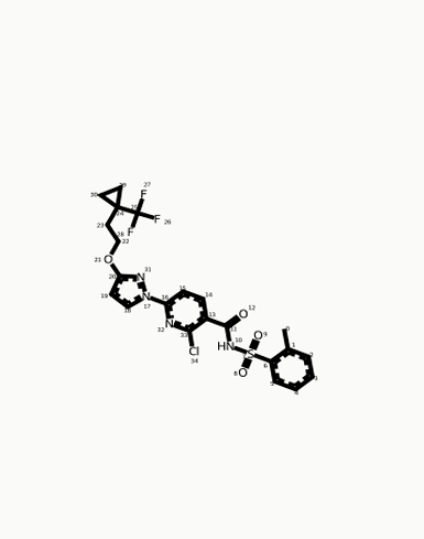 Cc1ccccc1S(=O)(=O)NC(=O)c1ccc(-n2ccc(OCCC3(C(F)(F)F)CC3)n2)nc1Cl